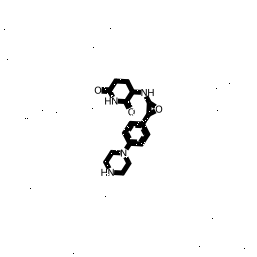 O=C1CCC(NC2OC2c2ccc(N3CCNCC3)cc2)C(=O)N1